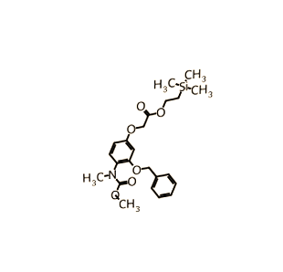 COC(=O)N(C)c1ccc(OCC(=O)OCC[Si](C)(C)C)cc1OCc1ccccc1